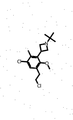 COc1c(CCCl)cc(Cl)c(C)c1C1CN(C(C)(C)C)C1